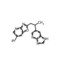 CC(C)c1cnc2nc(CC(C)c3cnc4nc[nH]c4c3)oc2c1